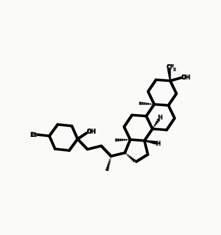 CCC1CCC(O)(CC[C@@H](C)[C@H]2CC[C@H]3[C@@H]4CCC5C[C@](O)(C(F)(F)F)CC[C@]5(C)C4CC[C@]23C)CC1